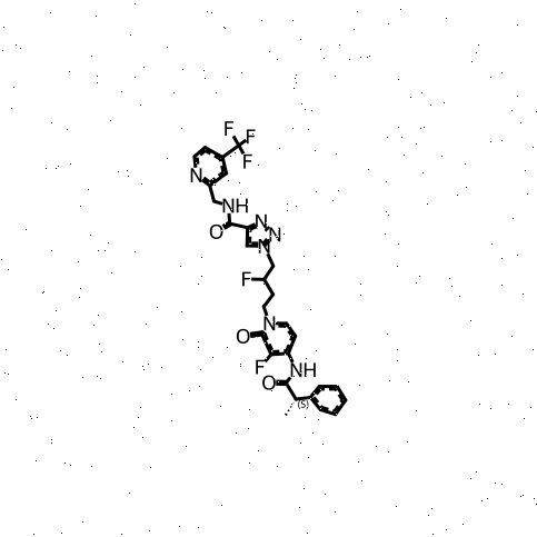 C[C@H](C(=O)Nc1ccn(CCC(F)Cn2cc(C(=O)NCc3cc(C(F)(F)F)ccn3)nn2)c(=O)c1F)c1ccccc1